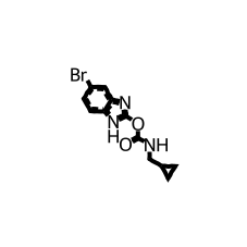 O=C(NCC1CC1)Oc1nc2cc(Br)ccc2[nH]1